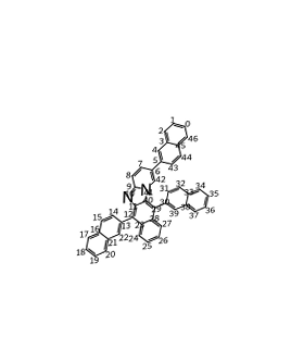 c1ccc2cc(-c3ccc4nc5c(-c6ccc7ccccc7c6)c6ccccc6c(-c6ccc7ccccc7c6)c5n4c3)ccc2c1